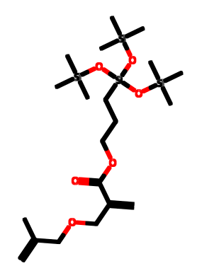 C=C(C)COCC(=C)C(=O)OCCC[Si](O[Si](C)(C)C)(O[Si](C)(C)C)O[Si](C)(C)C